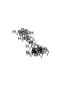 C=C1/C(=C\C=C2/CCC[C@]3(C)[C@@H]([C@H](C)/C=C/[C@H](O)C4(OC(=O)N(C)C)CC4)CC[C@@H]23)C[C@@H](O[Si](C)(C)C(C)(C)C)C[C@@H]1O[Si](C)(C)C(C)(C)C